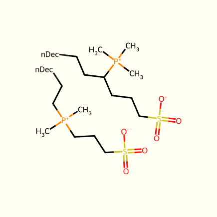 CCCCCCCCCCCCC(CCCS(=O)(=O)[O-])[P+](C)(C)C.CCCCCCCCCCCC[P+](C)(C)CCCS(=O)(=O)[O-]